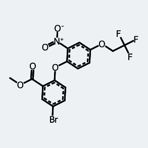 COC(=O)c1cc(Br)ccc1Oc1ccc(OCC(F)(F)F)cc1[N+](=O)[O-]